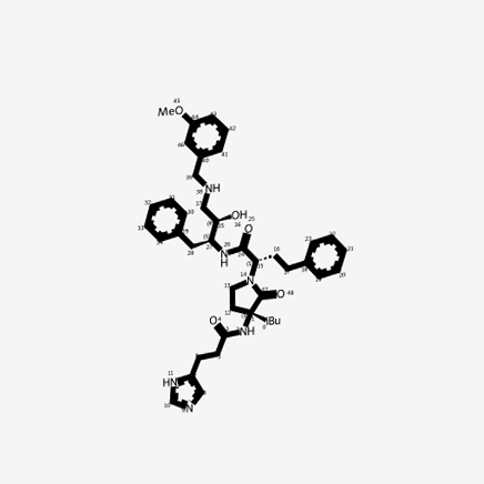 CCC(C)[C@@]1(NC(=O)CCc2cnc[nH]2)CCN([C@@H](CCc2ccccc2)C(=O)N[C@@H](Cc2ccccc2)[C@H](O)CNCc2cccc(OC)c2)C1=O